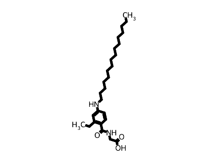 CCCCCCCCCCCCCCCCNc1ccc(C(=O)NCC(=O)O)c(CC)c1